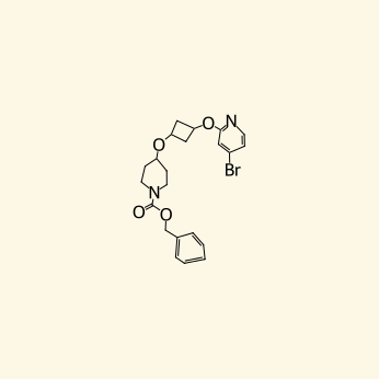 O=C(OCc1ccccc1)N1CCC(OC2CC(Oc3cc(Br)ccn3)C2)CC1